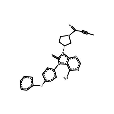 CC#CC(=O)N1CC[C@@H](n2c(=O)n(-c3ccc(Oc4ccccc4)nc3)c3c(N)ncnc32)C1